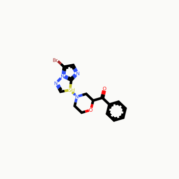 O=C(c1ccccc1)C1CN([SH]2C=Nn3c(Br)cnc32)CCO1